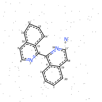 [N].c1ccc2c(-c3nccc4ccccc34)nccc2c1